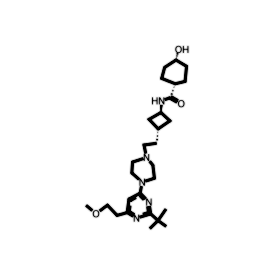 COCCc1cc(N2CCN(CC[C@H]3C[C@H](NC(=O)[C@H]4CC[C@@H](O)CC4)C3)CC2)nc(C(C)(C)C)n1